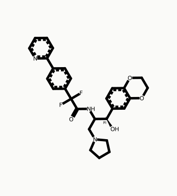 O=C(NC(CN1CCCC1)[C@H](O)c1ccc2c(c1)OCCO2)C(F)(F)c1ccc(-c2ccccn2)cc1